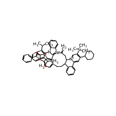 C=C1CC2C(CCc3ccc4c(oc5ccccc54)c3-c3n(-c4c(C(C)C)cc(-c5ccccc5)cc4C(C)C)c4ccccc4[n+]31)c1ccccc1-c1cc(C3CCCCC3)c([Si](C)(C)C)c[n+]12